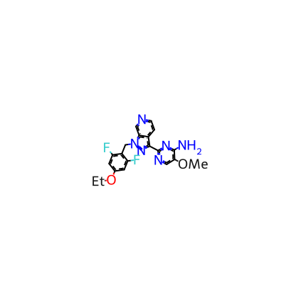 CCOc1cc(F)c(Cn2nc(-c3ncc(OC)c(N)n3)c3ccncc32)c(F)c1